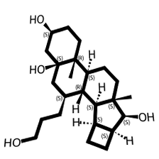 C[C@]12CC[C@H]3[C@@H]([C@@H](CCCO)C[C@]4(O)C[C@@H](O)CC[C@]34C)[C@@H]1[C@@H]1CC[C@@H]1[C@@H]2O